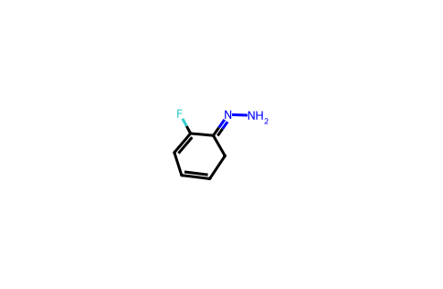 NN=C1CC=CC=C1F